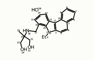 CCn1c2ccc3ccccc3c2c2cccc(CNC(C)(CO)CO)c21.Cl